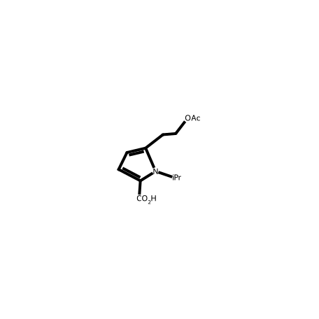 CC(=O)OCCc1ccc(C(=O)O)n1C(C)C